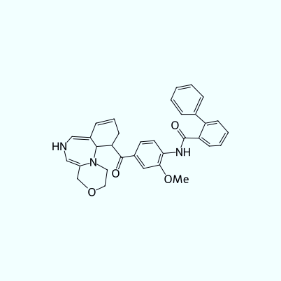 COc1cc(C(=O)C2CC=CC3=CNC=C4COCCN4C32)ccc1NC(=O)c1ccccc1-c1ccccc1